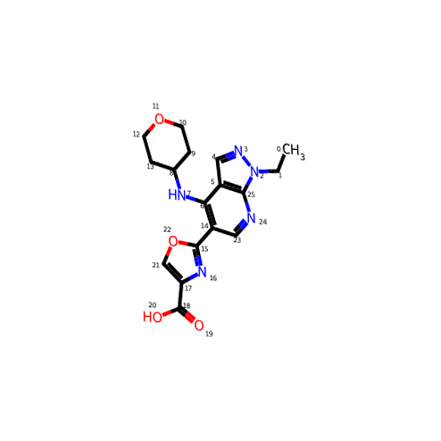 CCn1ncc2c(NC3CCOCC3)c(-c3nc(C(=O)O)co3)cnc21